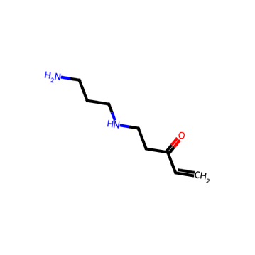 C=CC(=O)CCNCCCN